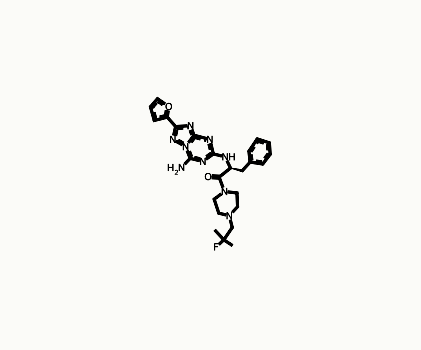 CC(C)(F)CN1CCN(C(=O)[C@H](Cc2ccccc2)Nc2nc(N)n3nc(-c4ccco4)nc3n2)CC1